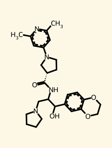 Cc1cc(N2CC[C@H](C(=O)NC(CN3CCCC3)C(O)c3ccc4c(c3)OCCO4)C2)cc(C)n1